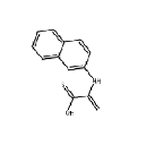 C=C(Nc1ccc2ccccc2c1)C(O)=S